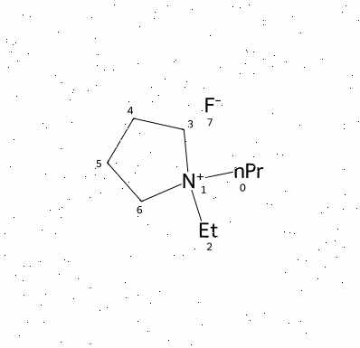 CCC[N+]1(CC)CCCC1.[F-]